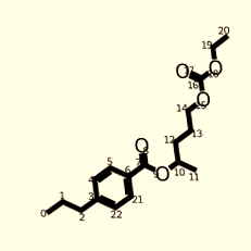 CCCc1ccc(C(=O)OC(C)CCCOC(=O)OCC)cc1